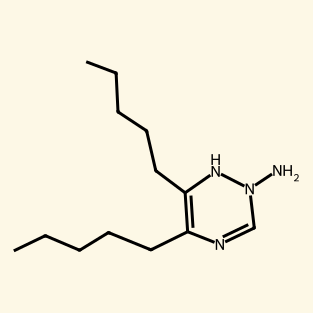 CCCCCC1=C(CCCCC)NN(N)C=N1